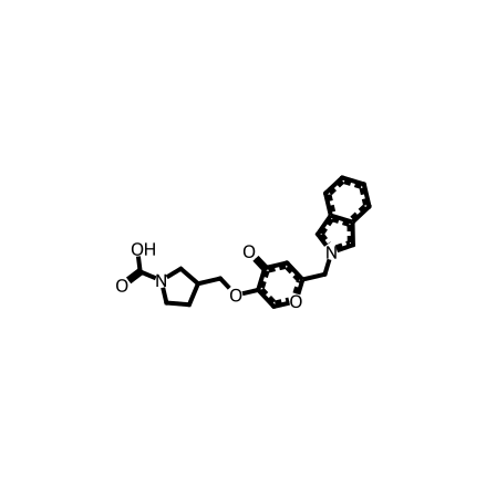 O=C(O)N1CCC(COc2coc(Cn3cc4ccccc4c3)cc2=O)C1